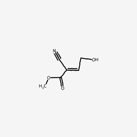 COC(=O)C(C#N)=CCO